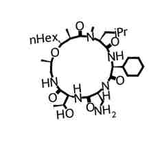 CCCCCC[C@H]1O[C@H](C)CNC(=O)[C@H]([C@H](C)O)NC(=O)[C@H](CN)NC(=O)[C@H](C2CCCCC2)NC(=O)[C@H](CC(C)C)N(C)C(=O)[C@@H]1C